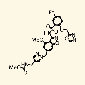 CCc1ccc(OCc2nnco2)c(S(=O)(=O)Nc2noc3cc(Cn4cc(CNC(=O)OC)cn4)cc(OC)c23)c1